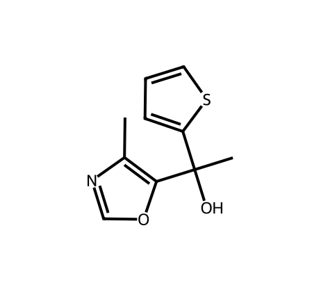 Cc1ncoc1C(C)(O)c1cccs1